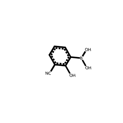 N#Cc1cccc(B(O)O)c1O